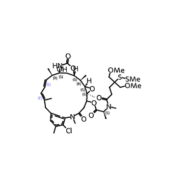 COCC(CCC(=O)N(C)[C@@H](C)C(=O)OC1CC(=O)N(C)c2cc(cc(C)c2Cl)C/C(C)=C/C=C/[C@@H](C)[C@@]2(O)C[C@H](OC(=O)N2)[C@@H](C)[C@@H]2O[C@@]12C)(COC)SSC